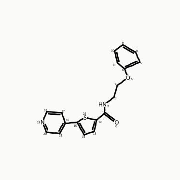 O=C(NCCOc1ccccc1)c1ccc(-c2ccncc2)s1